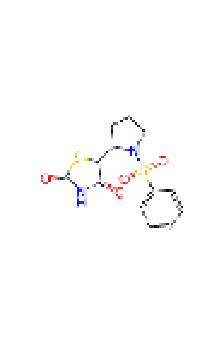 O=C1NC(=O)C(C2CCCN2S(=O)(=O)c2ccccc2)S1